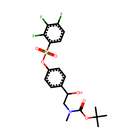 CN(CC(O)c1ccc(OS(=O)(=O)c2ccc(F)c(F)c2F)cc1)C(=O)OC(C)(C)C